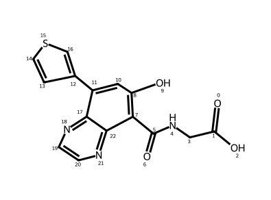 O=C(O)CNC(=O)c1c(O)cc(-c2ccsc2)c2nccnc12